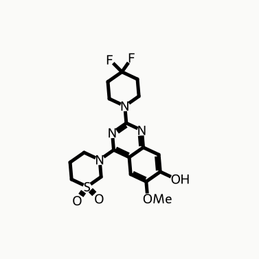 COc1cc2c(N3CCCS(=O)(=O)C3)nc(N3CCC(F)(F)CC3)nc2cc1O